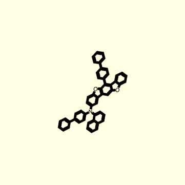 c1ccc(-c2ccc(-c3c4oc5ccc(N(c6ccc(-c7ccccc7)cc6)c6cccc7ccccc67)cc5c4cc4oc5ccccc5c34)cc2)cc1